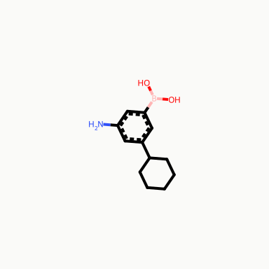 Nc1cc(B(O)O)cc(C2CCCCC2)c1